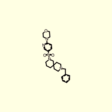 O=S(=O)(c1ccc(N2CCOCC2)nc1)N1CCCC2(CCN(Cc3ccccc3)CC2)C1